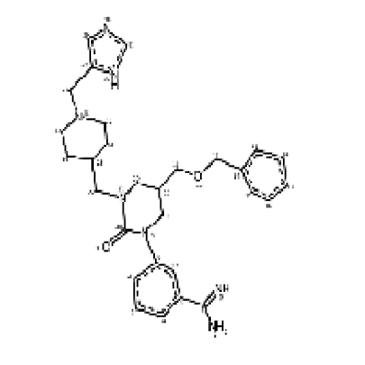 N=C(N)c1cccc(N2CC(COCc3ccccc3)CN(CC3CCN(Cc4cnc[nH]4)CC3)C2=O)c1